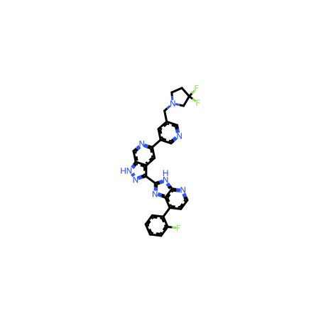 Fc1ccccc1-c1ccnc2[nH]c(-c3n[nH]c4cnc(-c5cncc(CN6CCC(F)(F)C6)c5)cc34)nc12